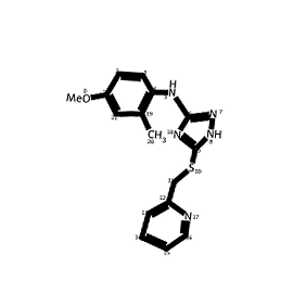 COc1ccc(Nc2n[nH]c(SCc3ccccn3)n2)c(C)c1